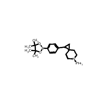 CC1(C)OB(c2ccc(C3CC34CCN(P)CC4)cc2)OC1(C)C